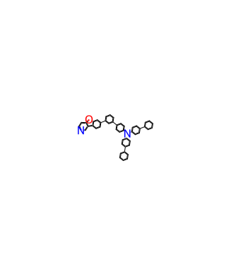 c1ccc(-c2ccc(N(c3ccc(-c4ccccc4)cc3)c3ccc(-c4cccc(-c5ccc6c(c5)oc5ccncc56)c4)cc3)cc2)cc1